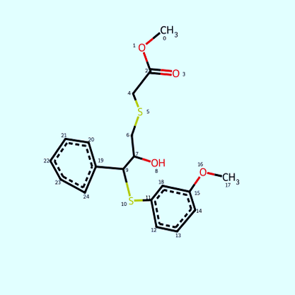 COC(=O)CSCC(O)C(Sc1cccc(OC)c1)c1ccccc1